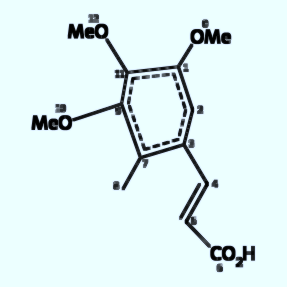 COc1cc(C=CC(=O)O)c(C)c(OC)c1OC